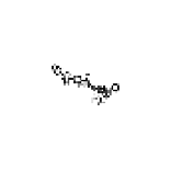 O=C(NCCNC(=O)C1CCC(c2nnc(C3CCOCC3)o2)CC1)c1cn(-c2ccccc2)nc1C(F)(F)F